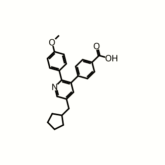 COc1ccc(-c2ncc(CC3CCCC3)cc2-c2ccc(C(=O)O)cc2)cc1